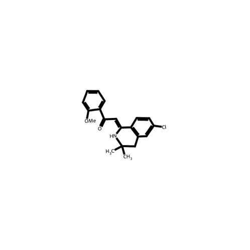 COc1ccccc1C(=O)/C=C1\NC(C)(C)Cc2cc(Cl)ccc21